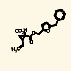 C=CC1CC1(C(=O)O)C(=O)OCc1ccc(Cc2ccccc2)o1